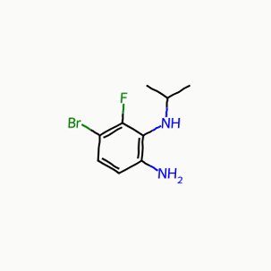 CC(C)Nc1c(N)ccc(Br)c1F